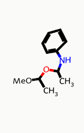 COC(C)OC(C)Nc1ccccc1